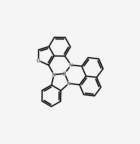 c1ccc2c(c1)N1B3N(c4cccc5cccc1c45)c1cccc4coc(c14)N32